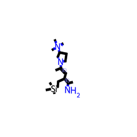 C/C(=C\C(CC[Si](C)(C)C)=C(/C)N)N1CCC([N+](C)(C)C)C1